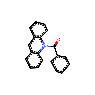 O=C(c1ccccc1)[n+]1c2ccccc2cc2ccccc21